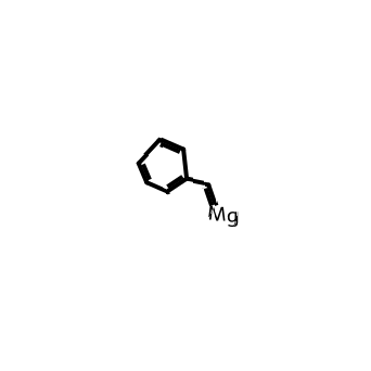 [Mg]=[CH]c1ccccc1